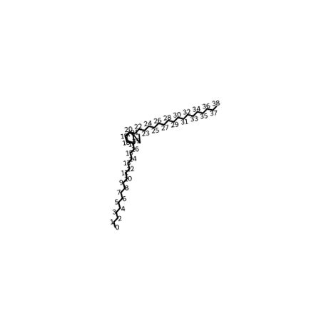 CCCCCCCCCCCCCCCCCc1c[c]cc(CCCCCCCCCCCCCCCCC)n1